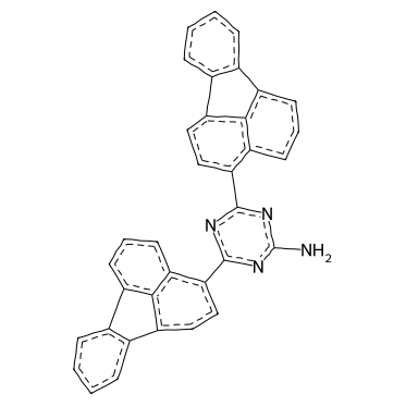 Nc1nc(-c2ccc3c4c(cccc24)-c2ccccc2-3)nc(-c2ccc3c4c(cccc24)-c2ccccc2-3)n1